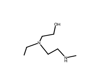 CCN(CCO)CCNC